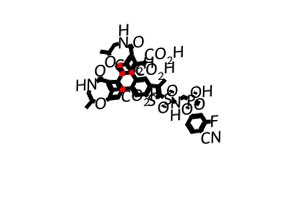 Cc1c(S(=O)(=O)NCP(=O)(O)Oc2ccc(C#N)c(F)c2)sc2cc(-c3cc4c(CC(=O)O)c(c3CC(=O)O)C(=O)NCC(C)O4)c(-c3cc4c(CC(=O)O)c(c3CC(=O)O)C(=O)NCC(C)O4)cc12